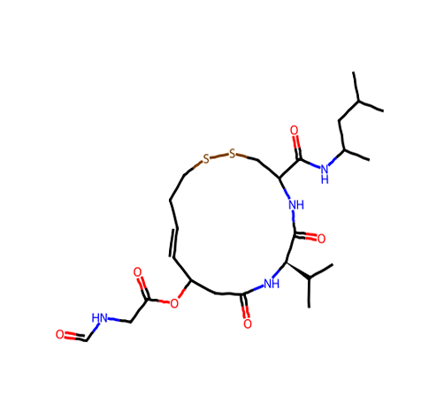 CC(C)CC(C)NC(=O)C1CSSCC/C=C/C(OC(=O)CNC=O)CC(=O)N[C@H](C(C)C)C(=O)N1